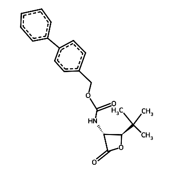 CC(C)(C)[C@H]1OC(=O)[C@@H]1NC(=O)OCc1ccc(-c2ccccc2)cc1